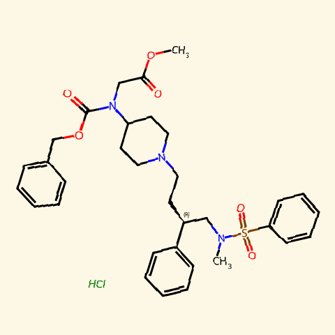 COC(=O)CN(C(=O)OCc1ccccc1)C1CCN(CC[C@@H](CN(C)S(=O)(=O)c2ccccc2)c2ccccc2)CC1.Cl